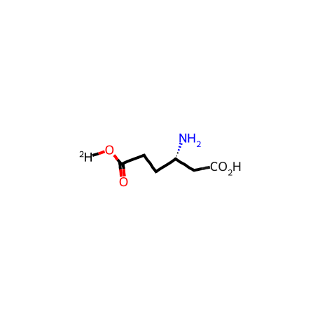 [2H]OC(=O)CC[C@H](N)CC(=O)O